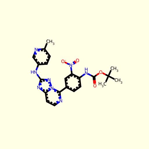 Cc1ccc(Nc2nc3ccnc(-c4ccc(NC(=O)OC(C)(C)C)c([N+](=O)[O-])c4)n3n2)cn1